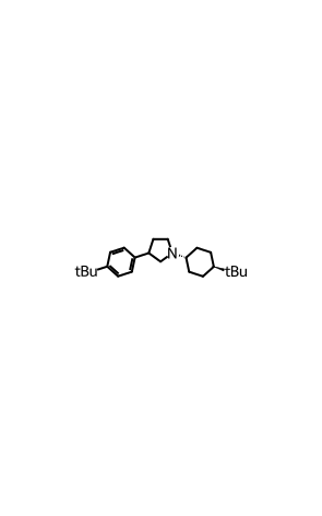 CC(C)(C)c1ccc(C2CCN([C@H]3CC[C@H](C(C)(C)C)CC3)C2)cc1